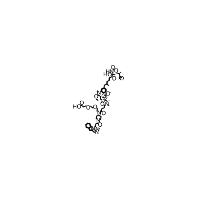 CC[C@H](CC(=O)N(C)c1cc(C/C(C)=C/C=C/[C@@H](OC)[C@@]2(O)C[C@@H]([C@@H](C)C3CO3)OC(=O)N2)cc(OC)c1Cl)OC(=O)[C@H](C)N(C)C(=O)CCC(=O)N(CCOCCOCCC(=O)O)C1CCN(C(=O)CCn2c(CN(C)NC)cc3ccccc32)CC1